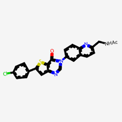 CC(=O)NCc1ccc2cc(-n3cnc4cc(-c5ccc(Cl)cc5)sc4c3=O)ccc2n1